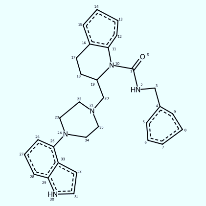 O=C(NCc1ccccc1)N1c2ccccc2CCC1CN1CCN(c2cccc3[nH]ccc23)CC1